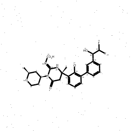 C[C@H]1C[C@@H](N2C(=O)C[C@@](C)(c3cccc(-c4cccc(C(O)C(F)F)c4)c3Cl)N/C2=N\C(=O)O)CCO1